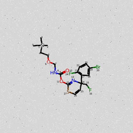 C[Si](C)(C)CCOCNC(=O)OC1=NC(CF)(c2cc(Br)ccc2F)C=CS1